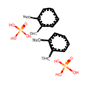 COc1ccccc1C=O.COc1ccccc1C=O.O=P(O)(O)O.O=P(O)(O)O